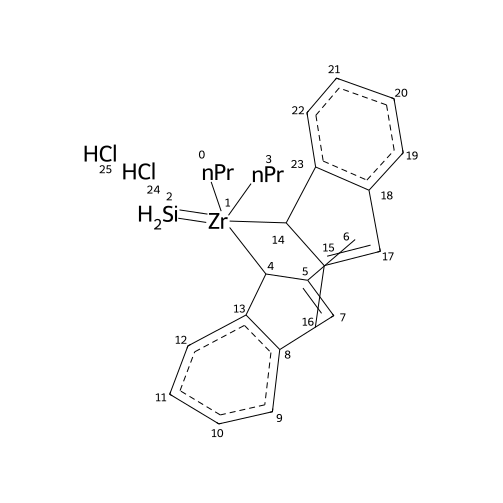 CC[CH2][Zr](=[SiH2])([CH2]CC)([CH]1C(C)=Cc2ccccc21)[CH]1C(C)=Cc2ccccc21.Cl.Cl